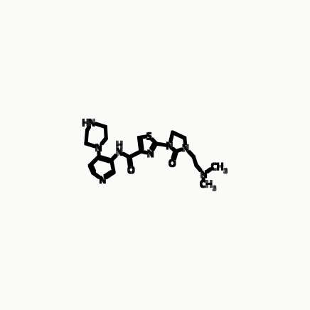 CN(C)CCN1CCN(c2nc(C(=O)Nc3cnccc3N3CCNCC3)cs2)C1=O